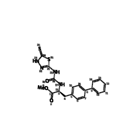 COC(=O)[C@H](Cc1ccc(-c2ccccc2)cc1)NC(=O)Nc1n[nH]c(=S)s1